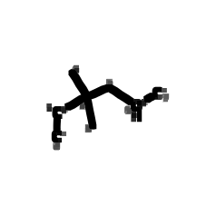 [CH2-][CH+]C(C)(C)C[OH+][CH2-]